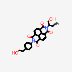 CC(C)CC(CO)N1C(=O)c2ccc3c4c(ccc(c24)C1=O)C(=O)N(C1=CC=C(CCO)CC1)C3=O